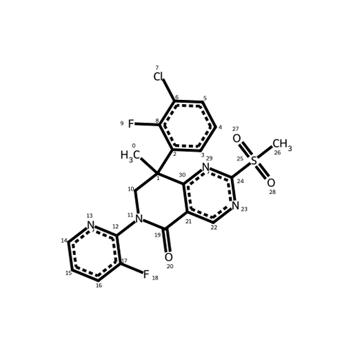 CC1(c2cccc(Cl)c2F)CN(c2ncccc2F)C(=O)c2cnc(S(C)(=O)=O)nc21